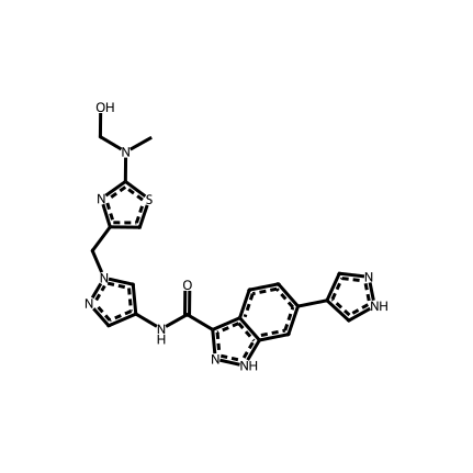 CN(CO)c1nc(Cn2cc(NC(=O)c3n[nH]c4cc(-c5cn[nH]c5)ccc34)cn2)cs1